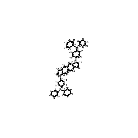 c1ccc(N(c2ccccc2)c2ccc(-n3ccc4cc5cc6c(ccn6-c6ccc(N(c7ccccc7)c7ccccc7)cc6)cc5cc43)cc2)cc1